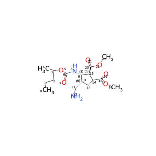 CCCC(C)OC(=O)N[C@H]1[C@@H](CN)CC(C(=O)OC)[C@@H]1C(=O)OC